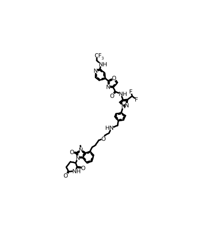 Cn1c(=O)n(C2CCC(=O)NC2=O)c2cccc(CCCOCCNCc3ccc(-n4cc(NC(=O)c5coc(-c6ccnc(NCC(F)(F)F)c6)n5)c(C(F)F)n4)cc3)c21